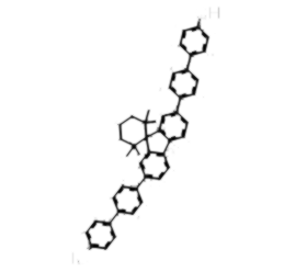 CC1(C)CCCC(C)(C)C12c1cc(-c3ccc(-c4ccc(O)cc4)cc3)ccc1-c1ccc(-c3ccc(-c4ccc(O)cc4)cc3)cc12